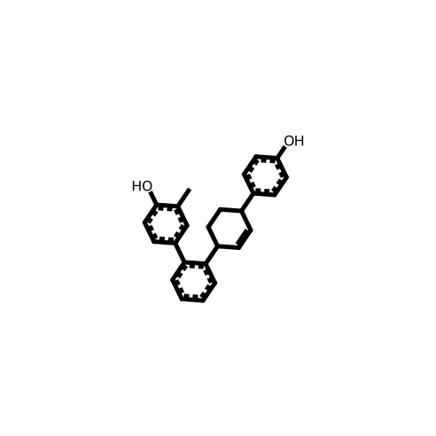 Cc1cc(-c2ccccc2C2C=CC(c3ccc(O)cc3)CC2)ccc1O